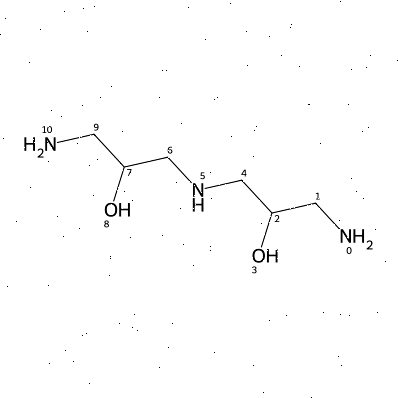 NCC(O)CNCC(O)CN